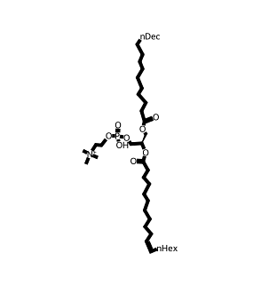 CCCCCC/C=C\CCCCCCCCCC(=O)O[C@H](COC(=O)CCCCCCCCCCCCCCCCCCC)COP(=O)(O)OCC[N+](C)(C)C